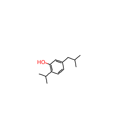 CC(C)Cc1ccc(C(C)C)c(O)c1